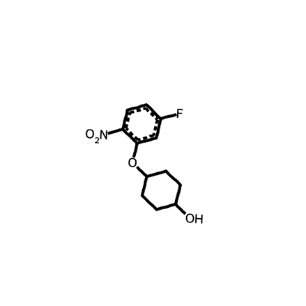 O=[N+]([O-])c1ccc(F)cc1OC1CCC(O)CC1